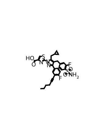 CCCCC#Cc1cc(-c2nn(-c3nc(C(=O)O)cs3)c(CC3CC3)c2Cc2ccc(S(N)(=O)=O)c(F)c2)ccc1F